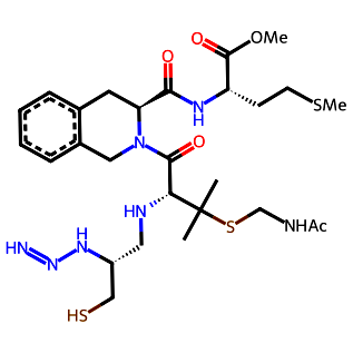 COC(=O)[C@H](CCSC)NC(=O)[C@@H]1Cc2ccccc2CN1C(=O)[C@@H](NC[C@H](CS)NN=N)C(C)(C)SCNC(C)=O